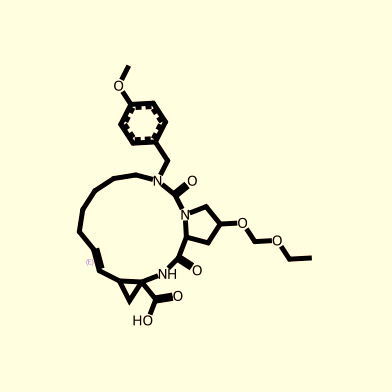 CCOCOC1CC2C(=O)NC3(C(=O)O)CC3/C=C/CCCCCN(Cc3ccc(OC)cc3)C(=O)N2C1